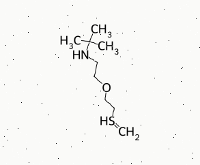 C=[SH]CCOCCNC(C)(C)C